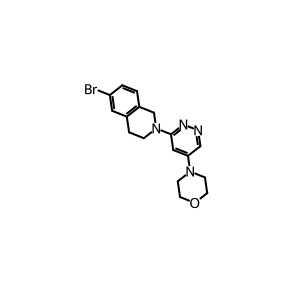 Brc1ccc2c(c1)CCN(c1cc(N3CCOCC3)cnn1)C2